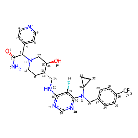 NC(=O)C(c1ccncc1)N1CC[C@@H](CNc2ncnc(N(Cc3ccc(C(F)(F)F)cc3)C3CC3)c2F)[C@H](O)C1